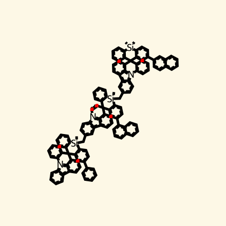 C[Si]1(C)c2ccccc2C2(c3ccccc3-n3c4ccc(C[Si]5(C)c6ccccc6C6(c7ccccc7-n7c8ccc(C[Si]9(C)c%10ccccc%10C%10(c%11ccccc%11-n%11c%12ccccc%12c%12cccc%10c%12%11)c%10cc(-c%11ccccc%11)ccc%109)cc8c8cccc6c87)c6cc(-c7cccc8ccccc78)ccc65)cc4c4cccc2c43)c2cc(-c3ccc4ccccc4c3)ccc21